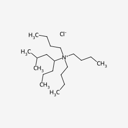 CCCC[N+](CCCC)(CCCC)C(CCC)CC(C)C.[Cl-]